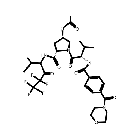 CC(=O)O[C@@H]1C[C@@H](C(=O)NC(C(=O)C(F)(F)C(F)(F)F)C(C)C)N(C(=O)[C@@H](NC(=O)c2ccc(C(=O)N3CCOCC3)cc2)C(C)C)C1